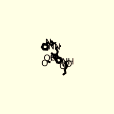 CC(=O)O.CCCCS(=O)(=O)Nc1ccc2oc(C)c(CCN(C)Cc3cnc4ccccc4n3)c2c1